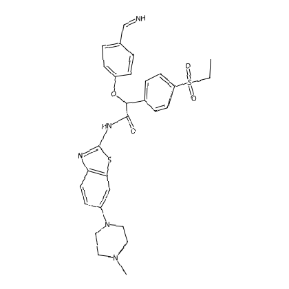 CCS(=O)(=O)c1ccc(C(Oc2ccc(C=N)cc2)C(=O)Nc2nc3ccc(N4CCN(C)CC4)cc3s2)cc1